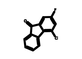 O=C1c2ccccc2-c2c(Cl)cc(F)cc21